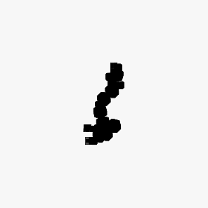 COc1cc(N2CCC(CN3CCN(c4ccc5c(c4)CN([C@H]4CCC(=O)NC4=O)C5=O)CC3)CC2)ccc1[C@H]1c2ccc(O)cc2CC[C@H]1c1ccccc1